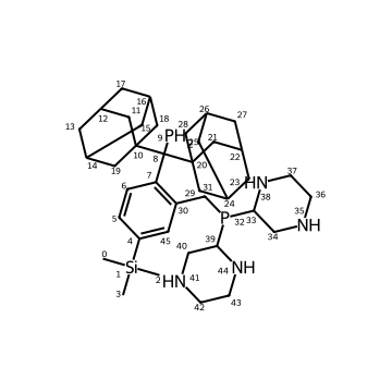 C[Si](C)(C)c1ccc(C(P)(C23CC4CC(CC(C4)C2)C3)C23CC4CC(CC(C4)C2)C3)c(CP(C2CNCCN2)C2CNCCN2)c1